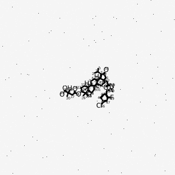 CC(C)C1=C2[C@H]3CC[C@@H]4[C@@]5(C)CC[C@H](OC(=O)CC(C)(C)C(=O)O)C(C)(C)[C@@H]5CC[C@@]4(C)[C@]3(C)CC[C@@]2(Cc2nnc(-c3ccc(Cl)cc3F)o2)CC1=O